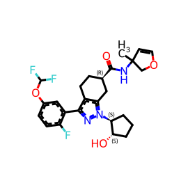 CC1(NC(=O)[C@@H]2CCc3c(-c4cc(OC(F)F)ccc4F)nn([C@H]4CCC[C@@H]4O)c3C2)C=COC1